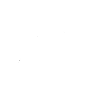 Cc1c(C(N)=O)ccc2c1OC(C)(C1CCC(N(C)C)CC1)O2